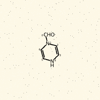 O=[C]N1C=CNC=C1